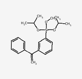 C=C(c1ccccc1)c1cccc([Si](OC)(OC(C)C)OC(C)C)c1